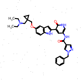 CCN(CC)CC1(COc2ccc3[nH]c(-c4cc(NC(=O)c5cnn(Cc6ccccc6)c5)c[nH]c4=O)cc3c2)CC1